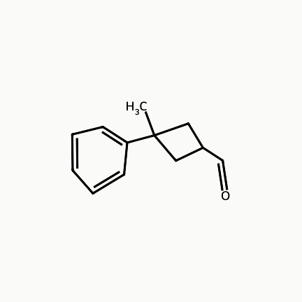 CC1(c2ccccc2)CC(C=O)C1